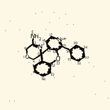 NC1=NC2(COC1)c1ccccc1Oc1c2ccnc1-c1ccccc1